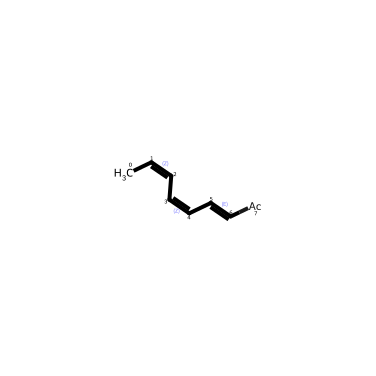 C\C=C/C=C\C=C\C(C)=O